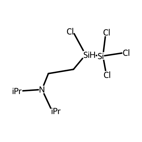 CC(C)N(CC[SiH](Cl)[Si](Cl)(Cl)Cl)C(C)C